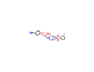 N#Cc1ccc(OCC(O)CN2CC3CC(C2)CN(S(=O)(=O)c2cccc(F)c2)C3)cc1